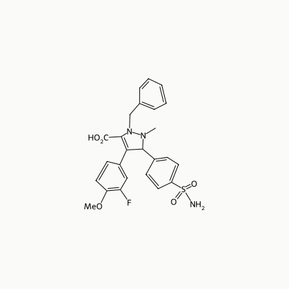 COc1ccc(C2=C(C(=O)O)N(Cc3ccccc3)N(C)C2c2ccc(S(N)(=O)=O)cc2)cc1F